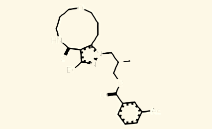 CCc1nn(C[C@@H](C)COC(=O)c2cccc(C(C)=O)c2)c2c1C(=O)NCCCOCCC2